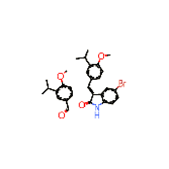 COc1ccc(/C=C2/C(=O)Nc3ccc(Br)cc32)cc1C(C)C.COc1ccc(C=O)cc1C(C)C